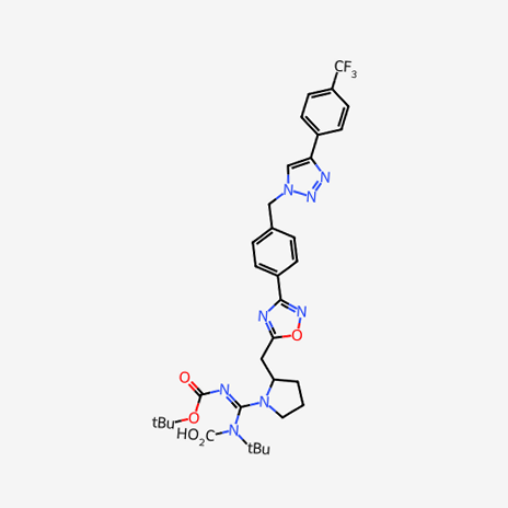 CC(C)(C)OC(=O)N=C(N1CCCC1Cc1nc(-c2ccc(Cn3cc(-c4ccc(C(F)(F)F)cc4)nn3)cc2)no1)N(C(=O)O)C(C)(C)C